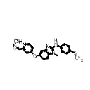 Cn1c(Nc2ccc(SC(F)(F)F)cc2)nc2cc(Oc3ccnc(/C=N\O)c3)ccc21